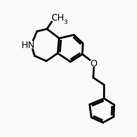 CC1CNCCc2cc(OCCc3ccccc3)ccc21